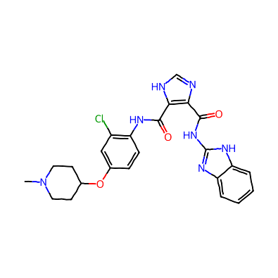 CN1CCC(Oc2ccc(NC(=O)c3[nH]cnc3C(=O)Nc3nc4ccccc4[nH]3)c(Cl)c2)CC1